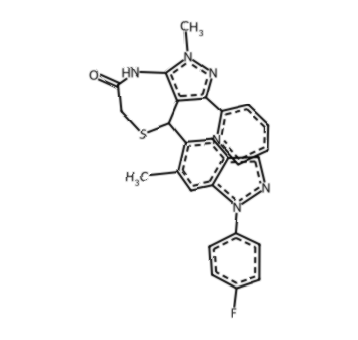 Cc1cc2c(cnn2-c2ccc(F)cc2)cc1C1SCC(=O)Nc2c1c(-c1ccccn1)nn2C